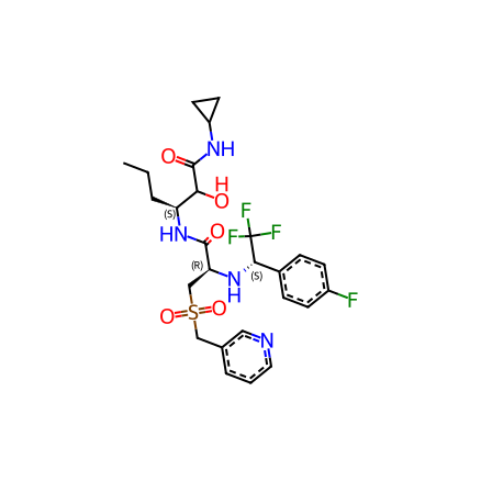 CCC[C@H](NC(=O)[C@H](CS(=O)(=O)Cc1cccnc1)N[C@@H](c1ccc(F)cc1)C(F)(F)F)C(O)C(=O)NC1CC1